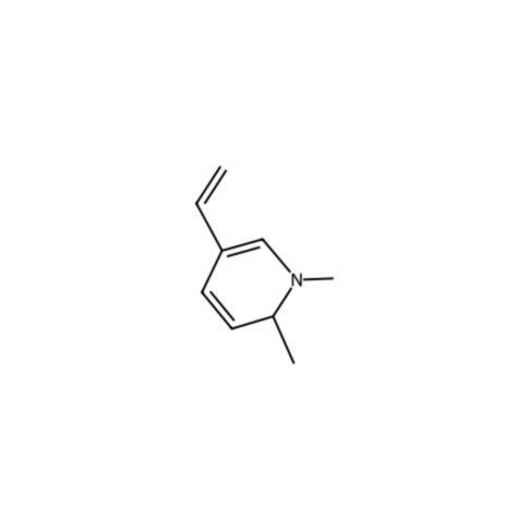 C=CC1=CN(C)C(C)C=C1